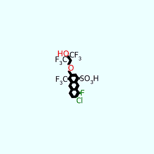 O=S(=O)(O)c1cc(COCCC(O)(C(F)(F)F)C(F)(F)F)c(C(F)(F)F)c2cc3ccc(Cl)c(F)c3cc12